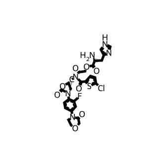 N[C@@H](Cc1c[nH]cn1)C(=O)OCC(=O)N(C[C@H]1CN(c2ccc(N3CCOCC3=O)cc2F)C(=O)O1)C(=O)c1ccc(Cl)s1